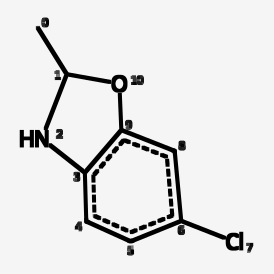 CC1Nc2ccc(Cl)cc2O1